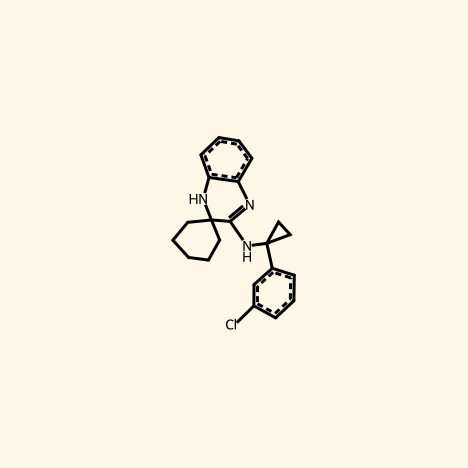 Clc1cccc(C2(NC3=Nc4ccccc4NC34CCCCC4)CC2)c1